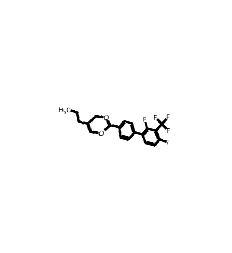 CCCC1COC(c2ccc(-c3ccc(F)c(C(F)(F)F)c3F)cc2)OC1